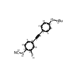 CCCCSc1ccc(C#Cc2ccc(SC#N)c(F)c2)cc1